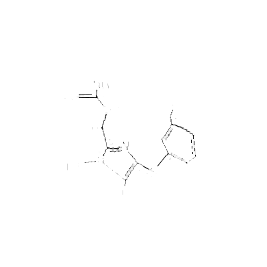 CC(C)c1c(Sc2cccc(F)c2)nc(COC(N)=O)n1C